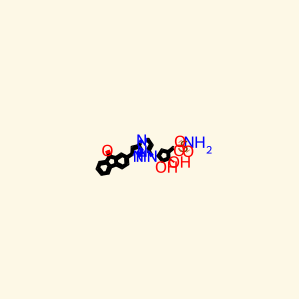 NS(=O)(=O)OCC1C[C@@H](Nc2ccnc3cc(-c4ccc5c(c4)C(=O)c4ccccc4-5)nn23)[C@H](O)[C@@H]1O